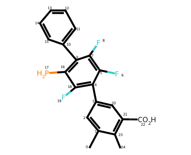 Cc1cc(-c2c(F)c(F)c(-c3ccccc3)c(P)c2F)cc(C(=O)O)c1C